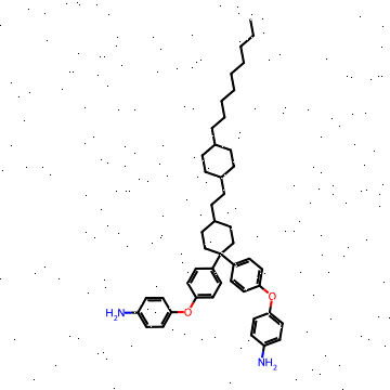 CCCCCCCCCC1CCC(CCC2CCC(c3ccc(Oc4ccc(N)cc4)cc3)(c3ccc(Oc4ccc(N)cc4)cc3)CC2)CC1